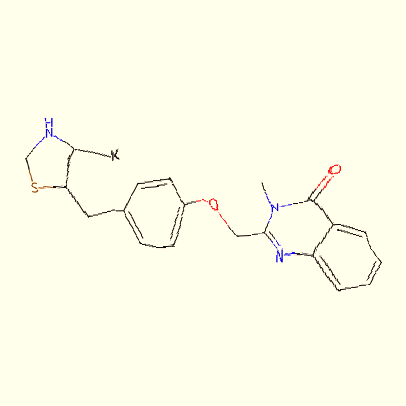 Cn1c(COc2ccc(CC3SCN[CH]3[K])cc2)nc2ccccc2c1=O